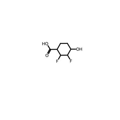 O=C(O)C1CCC(O)C(F)C1F